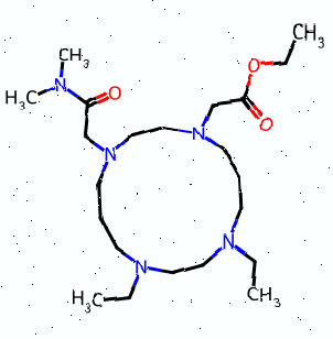 CCOC(=O)CN1CCCN(CC)CCN(CC)CCCN(CC(=O)N(C)C)CC1